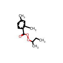 CC[C](C)OOC(=O)c1ccc(C)cc1C